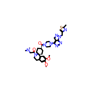 COc1cc2c(cc1OC)[C@]1(CC[C@H](C(=O)N3CCN(c4ncnc5c4cnn5Cc4csc(C)n4)CC3)CC1)N(C(=O)CN(C)C)CC2